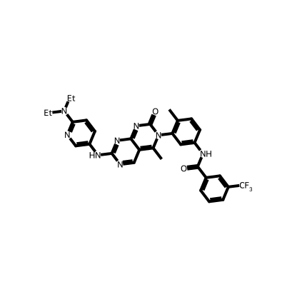 CCN(CC)c1ccc(Nc2ncc3c(C)n(-c4cc(NC(=O)c5cccc(C(F)(F)F)c5)ccc4C)c(=O)nc3n2)cn1